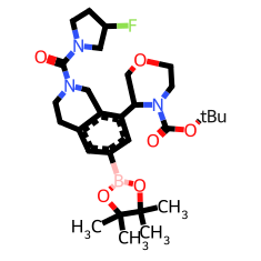 CC(C)(C)OC(=O)N1CCOCC1c1cc(B2OC(C)(C)C(C)(C)O2)cc2c1CN(C(=O)N1CCC(F)C1)CC2